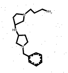 NCCCN1CCC(NC2CCN(Cc3ccccc3)C2)C1